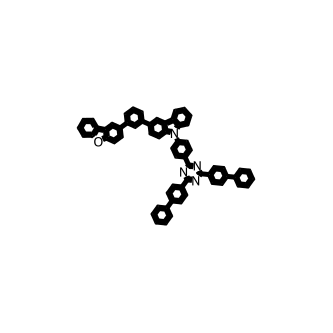 c1ccc(-c2ccc(-c3nc(-c4ccc(-c5ccccc5)cc4)nc(-c4ccc(-n5c6ccccc6c6cc(-c7cccc(-c8ccc9oc%10ccccc%10c9c8)c7)ccc65)cc4)n3)cc2)cc1